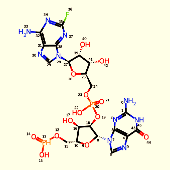 Nc1nc2c(ncn2[C@@H]2O[C@H](CO[PH](=O)O)[C@@H](O)[C@H]2OP(=O)(O)OC[C@H]2O[C@@H](n3cnc4c(N)nc(F)nc43)[C@H](O)[C@@H]2O)c(=O)[nH]1